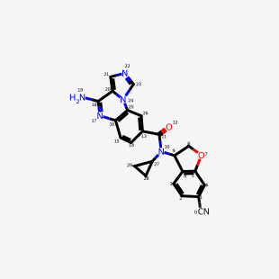 N#Cc1ccc2c(c1)OCC2N(C(=O)c1ccc2nc(N)c3cncn3c2c1)C1CC1